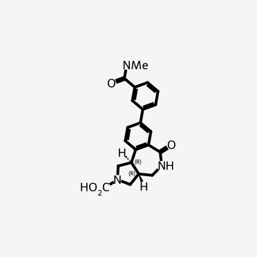 CNC(=O)c1cccc(-c2ccc3c(c2)C(=O)NC[C@@H]2CN(C(=O)O)C[C@@H]32)c1